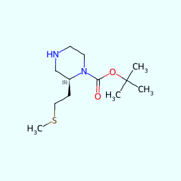 CSCC[C@H]1CNCCN1C(=O)OC(C)(C)C